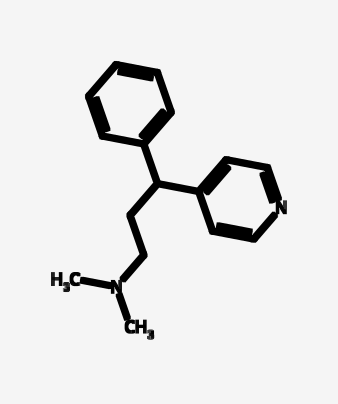 CN(C)CCC(c1ccccc1)c1ccncc1